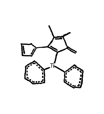 C=C1C(C)=C(C)C(C2=CC=CC2)=[C]1[Ti]([c]1ccccc1)[c]1ccccc1